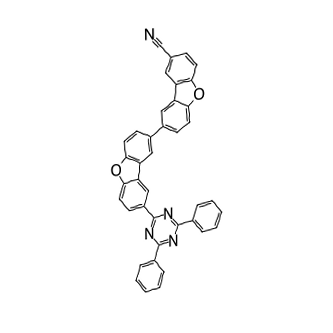 N#Cc1ccc2oc3ccc(-c4ccc5oc6ccc(-c7nc(-c8ccccc8)nc(-c8ccccc8)n7)cc6c5c4)cc3c2c1